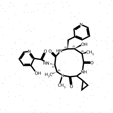 C[C@@H]1[C@H](NC(=O)c2ncccc2O)C(=O)N[C@@H](Cc2cccnc2)[C@@H](O)[C@@H](C)C(=O)NC(C2CC2)C(=O)N1C